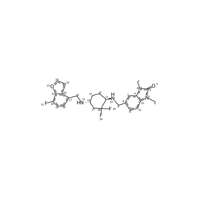 Cn1c(=O)n(C)c2cc(CN[C@@H]3CC[C@@H](NCc4ccc(F)c5occc45)CC3(F)F)ccc21